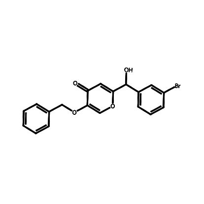 O=c1cc(C(O)c2cccc(Br)c2)occ1OCc1ccccc1